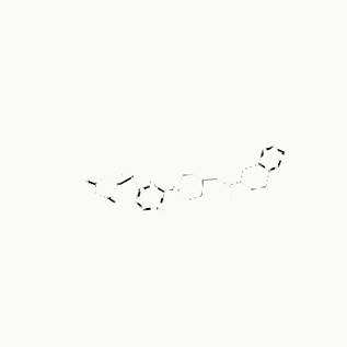 O=C1NC(=O)/C(=C\c2ccnc(N3CCC(CNC4CCc5ccccc5C4)CC3)n2)S1